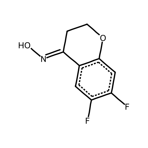 O/N=C1\CCOc2cc(F)c(F)cc21